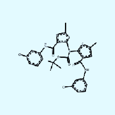 Cc1cc(C(=O)Nc2cccc(Cl)c2)c(N(C(=O)OC(C)(C)C)c2sc(C)cc2C(=O)Nc2cccc(Cl)c2)s1